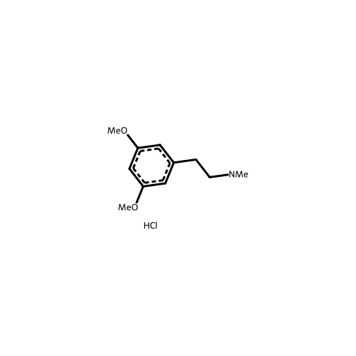 CNCCc1cc(OC)cc(OC)c1.Cl